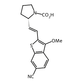 COc1c(C=C[C@@H]2CCCN2C(=O)O)sc2cc(C#N)ccc12